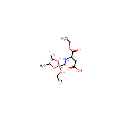 CCOC(=O)C(CC(=O)O)NC[Si](OCC)(OCC)OCC